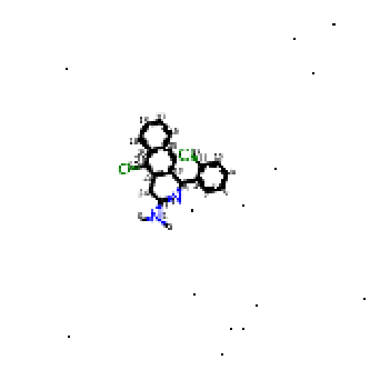 CN(C)C1=NC(c2ccccc2Cl)c2cc3ccccc3c(Cl)c2C1